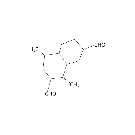 CC1CC(C=O)C(C)C2CC(C=O)CCC12